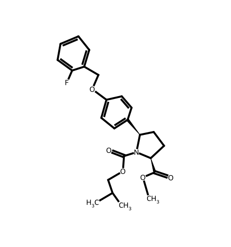 COC(=O)[C@@H]1CC[C@H](c2ccc(OCc3ccccc3F)cc2)N1C(=O)OCC(C)C